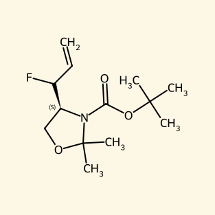 C=CC(F)[C@@H]1COC(C)(C)N1C(=O)OC(C)(C)C